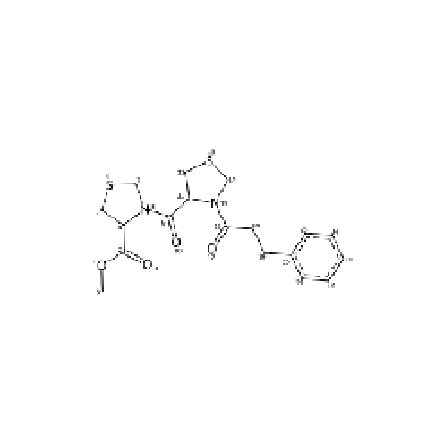 COC(=O)C1CSCN1C(=O)C1CSCN1C(=O)CCc1ccccc1